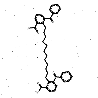 NC(=O)c1cccc(C(=O)c2ccccc2)c1CCCCCCCCCCCCc1c(C(N)=O)cccc1C(=O)c1ccccc1